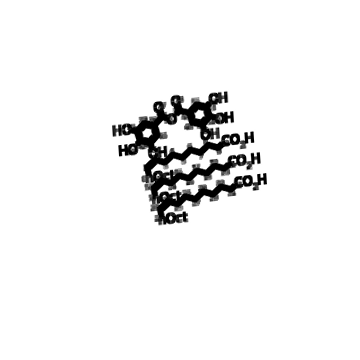 CCCCCCCC/C=C\CCCCCCCC(=O)O.CCCCCCCC/C=C\CCCCCCCC(=O)O.CCCCCCCC/C=C\CCCCCCCC(=O)O.O=C(OC(=O)c1cc(O)c(O)c(O)c1)c1cc(O)c(O)c(O)c1